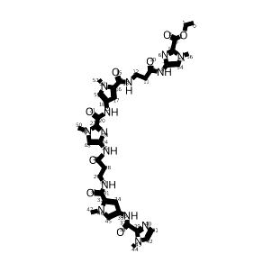 CCOC(=O)c1nc(NC(=O)CCNC(=O)c2cc(NC(=O)c3nc(NC(=O)CCNC(=O)c4cc(NC(=O)c5nccn5C)cn4C)cn3C)cn2C)cn1C